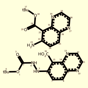 CC(C)(C)OC(=O)NNc1ccc2nccnc2c1C(=O)O.CC(C)(C)OC(=O)c1c(N)ccc2nccnc12